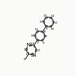 Cc1cnc(-c2ccc(-c3ccccc3)cc2)cn1